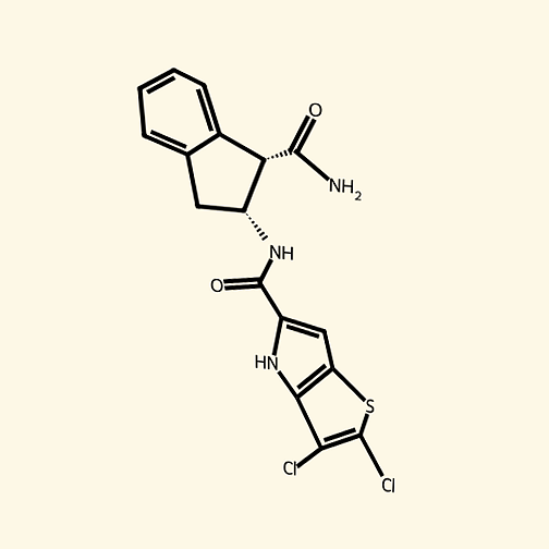 NC(=O)[C@H]1c2ccccc2C[C@H]1NC(=O)c1cc2sc(Cl)c(Cl)c2[nH]1